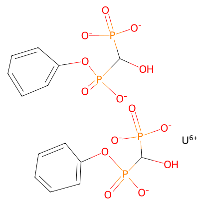 O=P([O-])([O-])C(O)P(=O)([O-])Oc1ccccc1.O=P([O-])([O-])C(O)P(=O)([O-])Oc1ccccc1.[U+6]